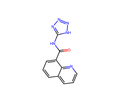 O=C(Nc1nnn[nH]1)c1cccc2cccnc12